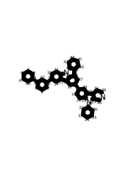 c1ccc(-c2cccc(-c3ccc4c(c3)c3cc(-c5ccc6c(c5)c5ccncc5n6-c5ccccc5)cc5c6ccccc6n4c53)c2)cc1